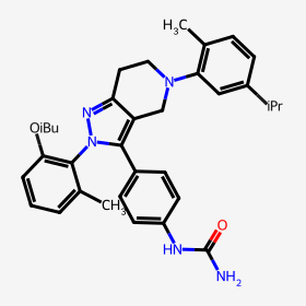 Cc1ccc(C(C)C)cc1N1CCc2nn(-c3c(C)cccc3OCC(C)C)c(-c3ccc(NC(N)=O)cc3)c2C1